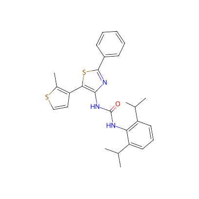 Cc1sccc1-c1sc(-c2ccccc2)nc1NC(=O)Nc1c(C(C)C)cccc1C(C)C